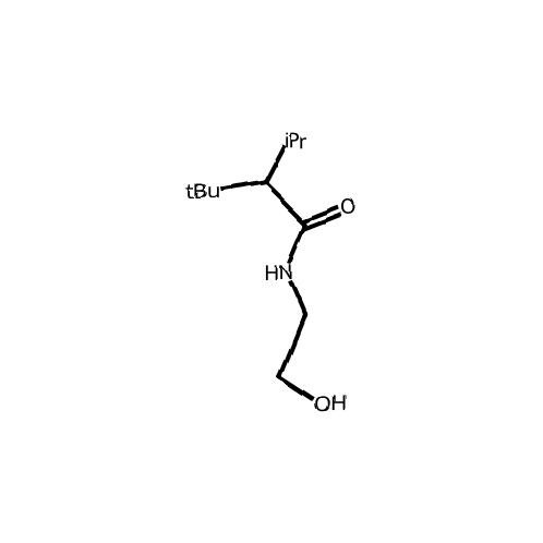 CC(C)C(C(=O)NCCO)C(C)(C)C